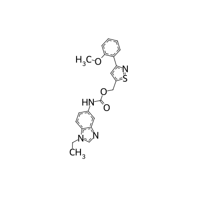 CCn1cnc2cc(NC(=O)OCc3cc(-c4ccccc4OC)ns3)ccc21